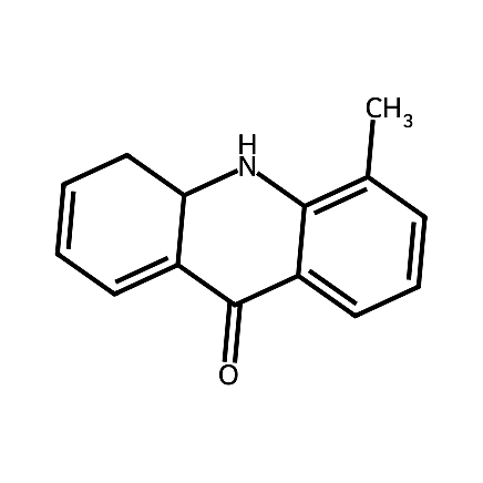 Cc1cccc2c1NC1CC=CC=C1C2=O